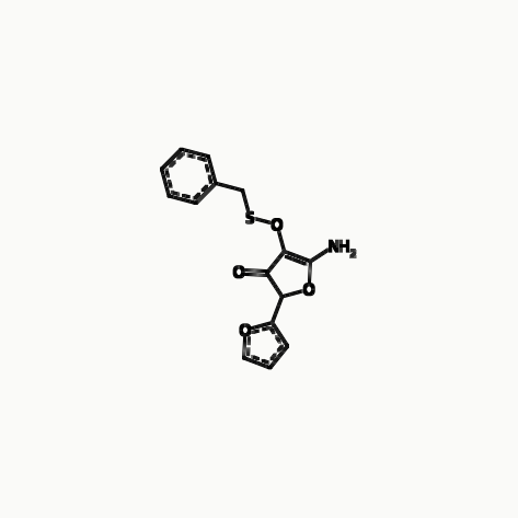 NC1=C(OSCc2ccccc2)C(=O)C(c2ccco2)O1